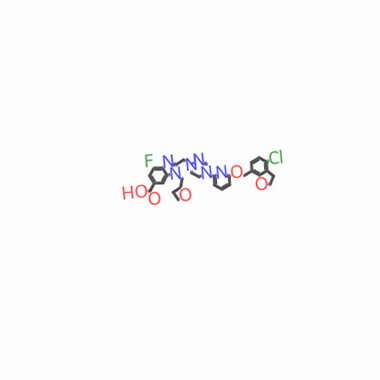 O=C(O)c1cc(F)c2nc(CN3CCN(c4cccc(OCc5ccc(Cl)c6c5OCC6)n4)C=N3)n(CC3CCO3)c2c1